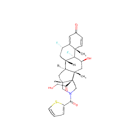 C[C@]12C=CC(=O)C=C1[C@@H](F)C[C@H]1[C@@H]3C[C@H]4CN(C(=O)c5cccs5)C[C@@]4(C(=O)CO)[C@@]3(C)C[C@H](O)[C@@]12F